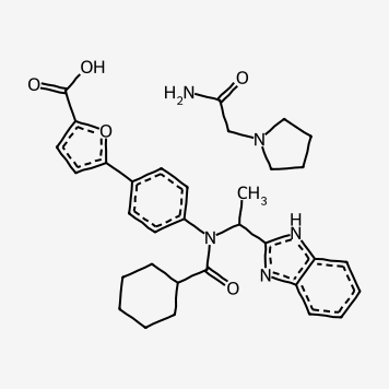 CC(c1nc2ccccc2[nH]1)N(C(=O)C1CCCCC1)c1ccc(-c2ccc(C(=O)O)o2)cc1.NC(=O)CN1CCCC1